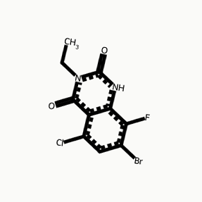 CCn1c(=O)[nH]c2c(F)c(Br)cc(Cl)c2c1=O